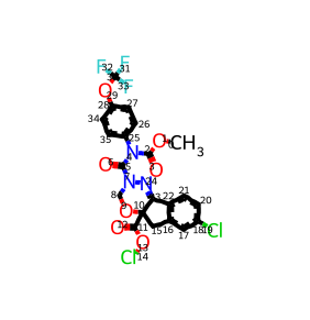 COC(=O)N(C(=O)N1COC2(C(=O)OCl)Cc3cc(Cl)ccc3C2=N1)c1ccc(OC(F)(F)F)cc1